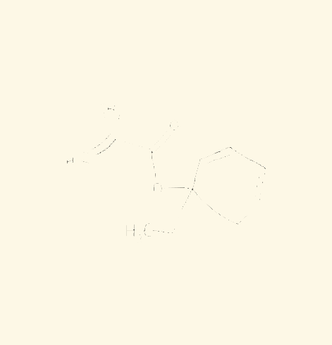 C=C(C)C(=O)OC1(CC)C=CC=CC1